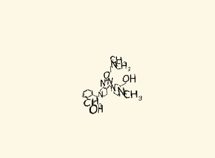 Cc1ccccc1/C(=C\CO)N1CCc2c(nc(OCCN(C)C)nc2N2CCN(C)C(CO)C2)C1